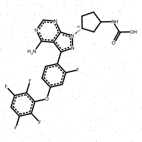 Nc1ncnc2c1c(-c1ccc(Oc3c(F)c(F)cc(F)c3F)cc1F)nn2[C@@H]1CCC(NC(=O)O)C1